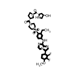 CCc1cc(Nc2nccn3c(-c4ccc(OC)c(F)c4F)cnc23)ccc1S(=O)(=O)N1CCN(C(=O)[C@@H]2CCN(C(=O)[C@@H]3C[C@@H](O)CN3)C2)CC1